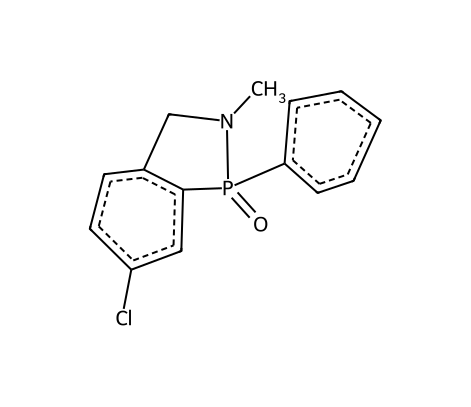 CN1Cc2ccc(Cl)cc2P1(=O)c1ccccc1